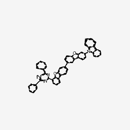 c1ccc(-c2nc(-c3ccccc3)nc(-c3cccc4c3oc3cc(-c5ccc6oc7cc(-n8c9ccccc9c9ccccc98)ccc7c6c5)ccc34)n2)cc1